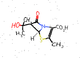 CC1=C(C(=O)O)N2C(=O)C(C(C)(C)O)[C@@H]2S1